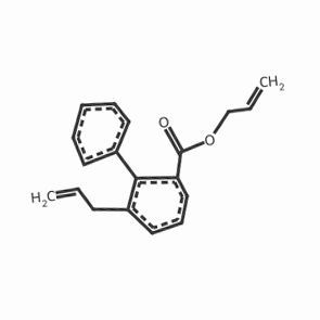 C=CCOC(=O)c1cccc(CC=C)c1-c1ccccc1